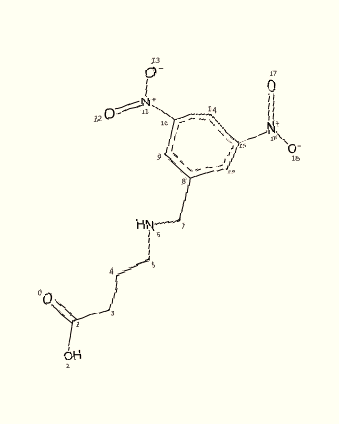 O=C(O)CCCNCc1cc([N+](=O)[O-])cc([N+](=O)[O-])c1